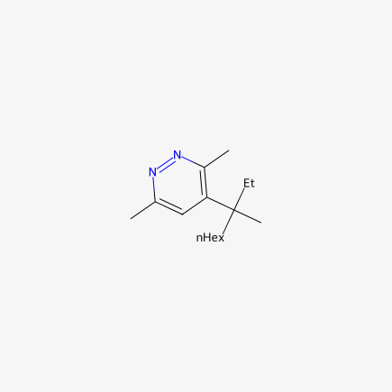 CCCCCCC(C)(CC)c1cc(C)nnc1C